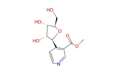 COC(=O)c1cnccc1[C@@H]1O[C@H](CO)[C@@H](O)[C@H]1O